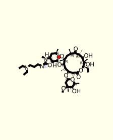 CC[C@H]1OC(=O)[C@H](C)[C@@H](O[C@H]2C[C@@](C)(OC)[C@@H](O)[C@H](C)O2)[C@H](C)[C@@H](O[C@@H]2O[C@H](C)C[C@H]3[C@H]2O/C(=N/CCCN(CC)CC)N3C)[C@](C)(OC)C[C@@H](C)C(=O)[C@H](C)[C@@H](O)[C@]1(C)O